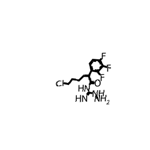 N=C(NN)NC(=O)C(CCCCCl)c1ccc(F)c(F)c1F